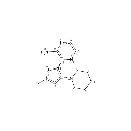 Cc1cc(N2CCOCC2)n(-c2nccnc2N)n1